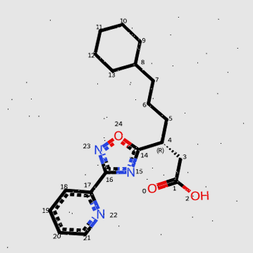 O=C(O)C[C@@H](CCCC1CCCCC1)c1nc(-c2ccccn2)no1